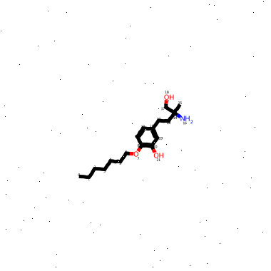 CCCCCCCOc1ccc(CCC(C)(N)CO)cc1O